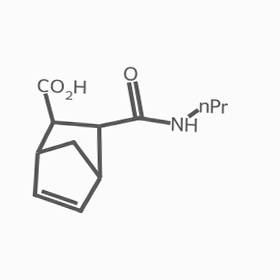 CCCNC(=O)C1C2C=CC(C2)C1C(=O)O